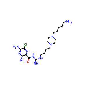 N=C(NCCCCN1CCN(CCCCCN)CC1)NC(=O)c1nc(Cl)c(N)nc1N